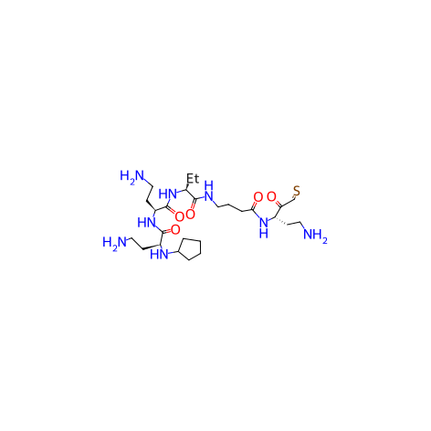 CC[C@H](NC(=O)[C@H](CCN)NC(=O)[C@H](CCN)NC1CCCC1)C(=O)NCCCC(=O)N[C@@H](CCN)C(=O)C=S